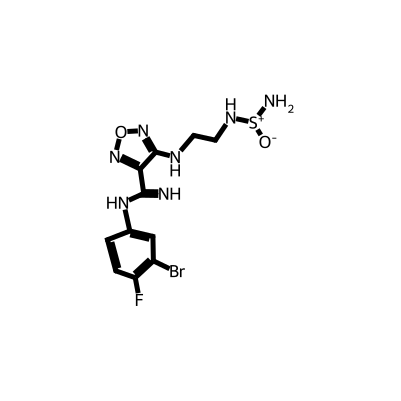 N=C(Nc1ccc(F)c(Br)c1)c1nonc1NCCN[S+](N)[O-]